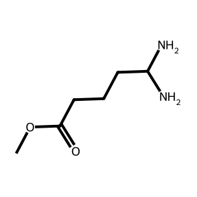 COC(=O)CCCC(N)N